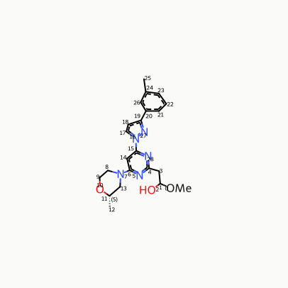 COC(O)Cc1nc(N2CCO[C@@H](C)C2)cc(-n2ccc(-c3cccc(C)c3)n2)n1